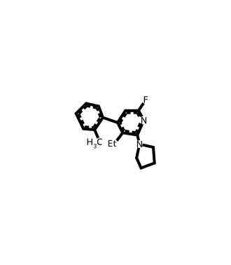 CCc1c(-c2ccccc2C)cc(F)nc1N1CCCC1